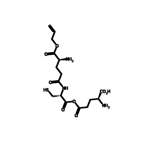 C=CCOC(=O)[C@@H](N)CCC(=O)N[C@@H](CS)C(=O)OC(=O)CC[C@H](N)C(=O)O